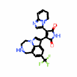 O=C1NC(=O)C(c2cnc3ccccn23)=C1c1cn2c3c(cc(C(F)(F)F)cc13)CNCC2